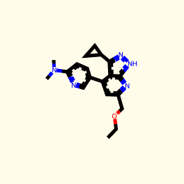 CCOCc1cc(-c2ccc(N(C)C)nc2)c2c(C3CC3)n[nH]c2n1